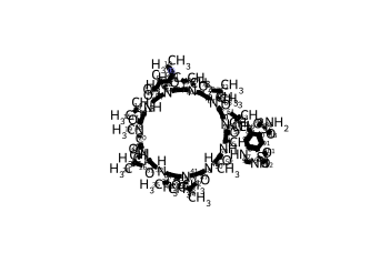 C/C=C/C[C@@H](C)C(=O)[C@H]1C(=O)N[C@@H](C(C)C)C(=O)N(C)CC(=O)N(C)[C@@H](CC(C)C)C(=O)N[C@@H](C(C)C)C(=O)N(C)[C@@H](CC(C)C)C(=O)N[C@@H](C)C(=O)N[C@H](C)C(=O)N(C)[C@@H](CC(C)C)C(=O)N(C)[C@@H](CC(C)C)C(=O)N(C)[C@@H](C(C)C)C(=O)N1C.NS(=O)(=O)c1cc2c(cc1Cl)NCNS2(=O)=O